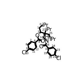 CC(C)CC(OC(=O)c1ccc(Cl)cc1)C(CNC(=O)c1ccc(Cl)cc1)(CC(C)C)C(C)C